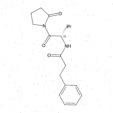 CC(C)[C@H](NC(=O)CCc1ccccc1)C(=O)N1CCCC1=O